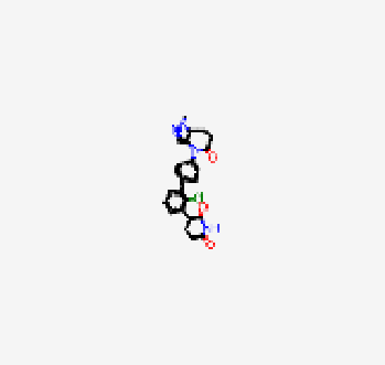 Cn1ncc2c1CCC(=O)N2c1ccc(-c2cccc(C3CCC(=O)NC3=O)c2Cl)cc1